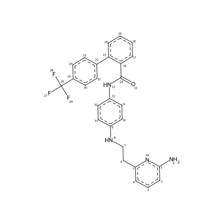 Nc1cccc(CCNc2ccc(NC(=O)c3ccccc3-c3ccc(C(F)(F)F)cc3)cc2)n1